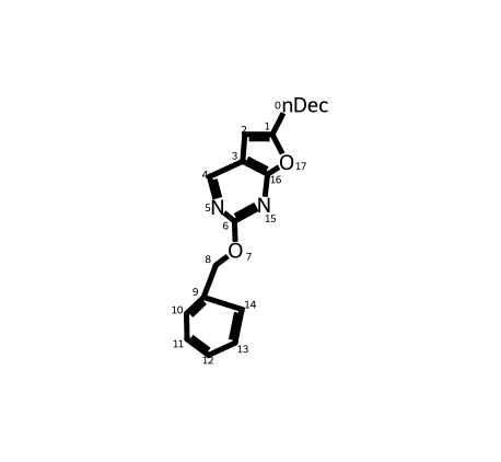 CCCCCCCCCCc1cc2cnc(OCc3ccccc3)nc2o1